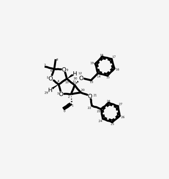 C=C[C@]12O[C@@H]3OC(C)(C)O[C@@H]3[C@@]1(OCc1ccccc1)C2OCc1ccccc1